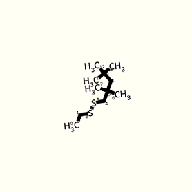 CCSSCC(C)(C)CC(C)(C)C